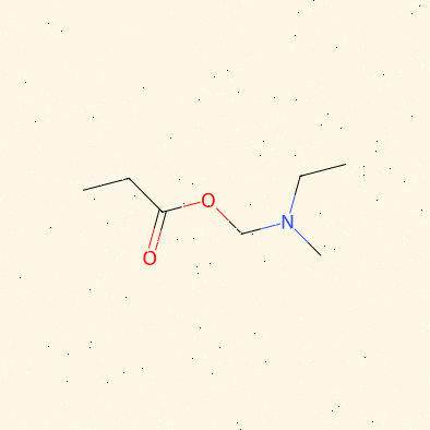 CCC(=O)OCN(C)CC